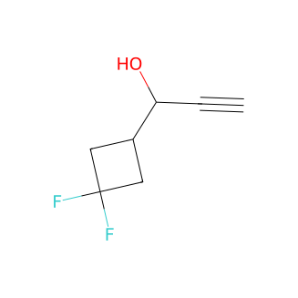 C#CC(O)C1CC(F)(F)C1